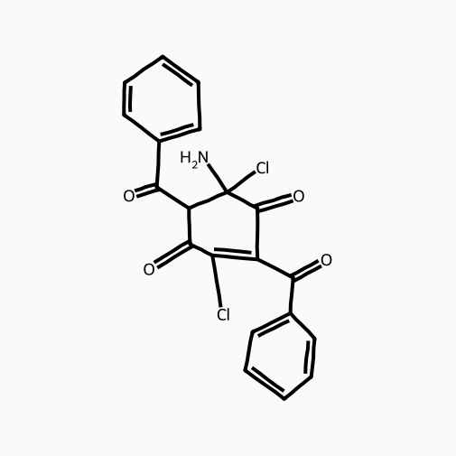 NC1(Cl)C(=O)C(C(=O)c2ccccc2)=C(Cl)C(=O)C1C(=O)c1ccccc1